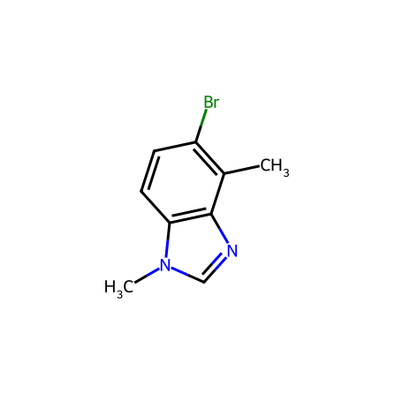 Cc1c(Br)ccc2c1ncn2C